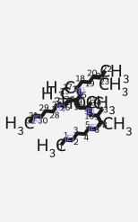 C/C=C/CC/C=C/C(C)C(/C=C(\C)CC(/C=C(\C)CCC=C(C)C)C(C)/C=C/CC/C=C/C)CC(=O)O